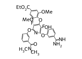 CCOC(=O)c1cc(OC)c(Oc2c(F)c(Oc3cccc(C(=O)N(C)C)c3)nc(Oc3cc(C(=N)N)ccc3O)c2F)c(OC)c1